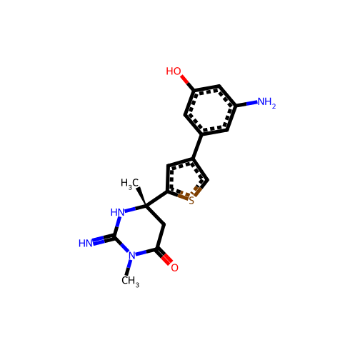 CN1C(=N)N[C@](C)(c2cc(-c3cc(N)cc(O)c3)cs2)CC1=O